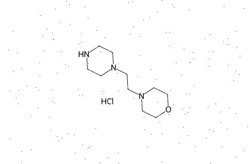 C1CN(CCN2CCOCC2)CCN1.Cl